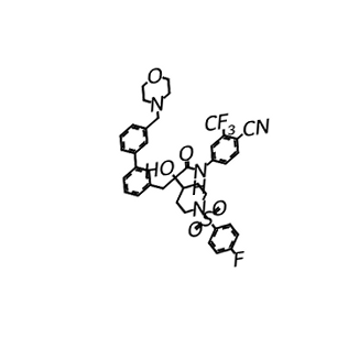 N#Cc1ccc(NC(=O)C(O)(Cc2cccc(-c3cccc(CN4CCOCC4)c3)c2)C2CCN(S(=O)(=O)c3ccc(F)cc3)CC2)cc1C(F)(F)F